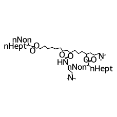 CCCCCCCCCC(CCCCCCC)C(=O)OCCCCCCC(CCCCCC(CCCN(C)C)OC(=O)C(CCCCCCC)CCCCCCCCC)OC(=O)NCCCN(C)C